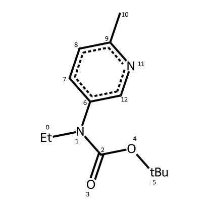 CCN(C(=O)OC(C)(C)C)c1ccc(C)nc1